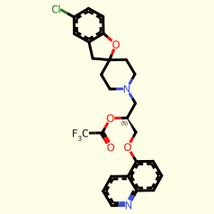 O=C(O[C@H](COc1cccc2ncccc12)CN1CCC2(CC1)Cc1cc(Cl)ccc1O2)C(F)(F)F